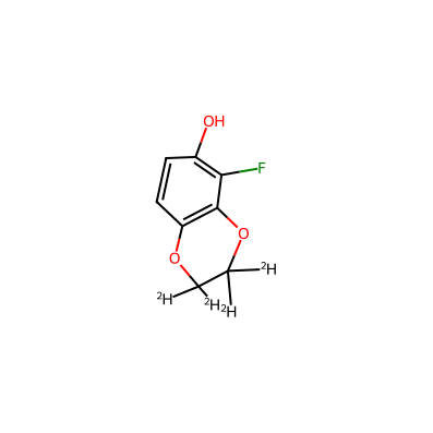 [2H]C1([2H])Oc2ccc(O)c(F)c2OC1([2H])[2H]